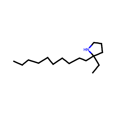 CCCCCCCCCCC1(CC)CCCN1